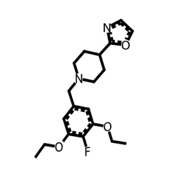 CCOc1cc(CN2CCC(c3ncco3)CC2)cc(OCC)c1F